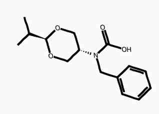 CC(C)[C@H]1OC[C@H](N(Cc2ccccc2)C(=O)O)CO1